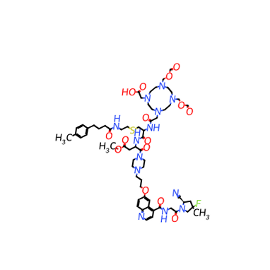 COC(=O)CC(NC(=O)C(CSCCNC(=O)CCCc1ccc(C)cc1)NC(=O)CN1CCN(COC=O)CCN(COC=O)CCN(CC(=O)O)CC1)C(=O)N1CCN(CCCOc2ccc3nccc(C(=O)NCC(=O)N4CC(C)(F)C[C@@H]4C#N)c3c2)CC1